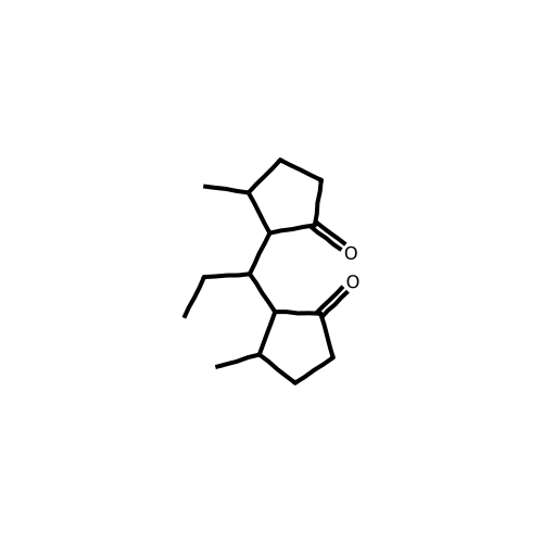 CCC(C1C(=O)CCC1C)C1C(=O)CCC1C